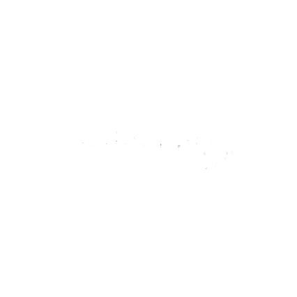 CCCCCCCCOCOCCCCCCCCS(C)(CC)C(C)CO